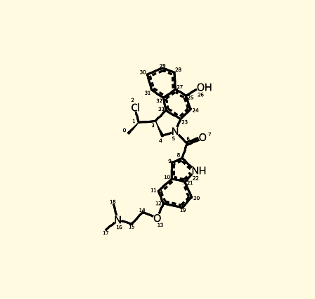 C[C@@H](Cl)[C@@H]1CN(C(=O)c2cc3cc(OCCN(C)C)ccc3[nH]2)c2cc(O)c3ccccc3c21